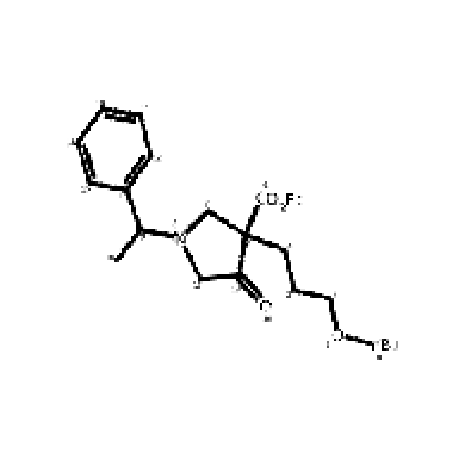 CCCCOCCCC1(C(=O)OCC)CN(C(C)c2ccccc2)CC1=O